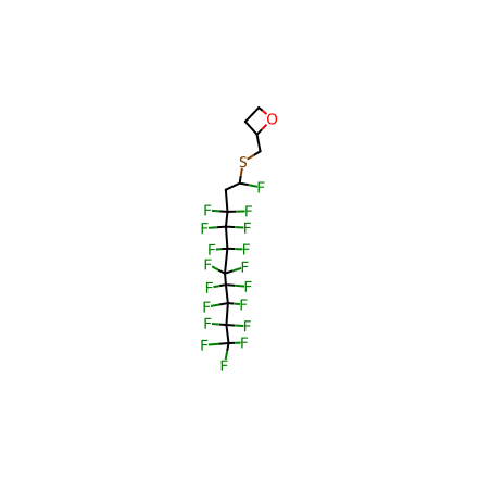 FC(CC(F)(F)C(F)(F)C(F)(F)C(F)(F)C(F)(F)C(F)(F)C(F)(F)C(F)(F)F)SCC1CCO1